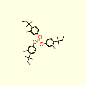 CCC(C)(C)c1ccc(OP(Oc2ccc(C(C)(C)CC)c(C)c2)Oc2ccc(C(C)(C)CC)c(C)c2)cc1C